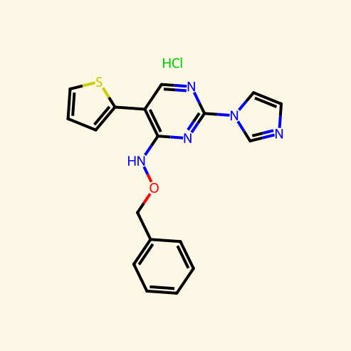 Cl.c1ccc(CONc2nc(-n3ccnc3)ncc2-c2cccs2)cc1